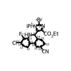 CCOC(=O)c1nc(Br)n(C(C)C)c1C1Nc2c(ccc(Cl)c2F)-c2cc(C#N)ccc21